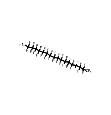 CCCCC(F)(F)C(F)(F)C(F)(F)C(F)(F)C(F)(F)C(F)(F)C(F)(F)C(F)(F)C(F)(F)C(F)(F)C(F)(F)C(F)(F)C(F)(F)C(F)(F)C(F)(F)C(F)(F)C(F)(F)F